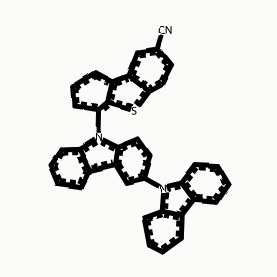 N#Cc1ccc2sc3c(-n4c5ccccc5c5cc(-n6c7ccccc7c7ccccc76)ccc54)cccc3c2c1